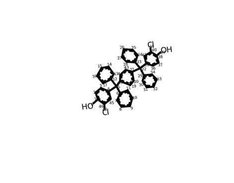 Oc1ccc(C(c2ccccc2)(c2ccccc2)c2ccc(C(c3ccccc3)(c3ccccc3)c3ccc(O)c(Cl)c3)cc2)cc1Cl